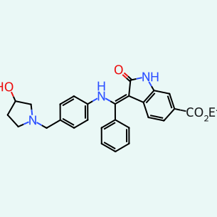 CCOC(=O)c1ccc2c(c1)NC(=O)/C2=C(\Nc1ccc(CN2CCC(O)C2)cc1)c1ccccc1